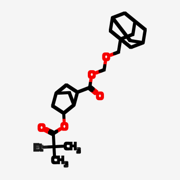 CCC(C)(C)C(=O)OC1CC2CC(C(=O)OCOCC34CC5CC(CC(C5)C3)C4)C1C2